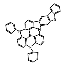 c1ccc(N2c3cccc4c3B3c5c2cccc5-n2c5cc6sc7ccccc7c6cc5c5ccc(c3c52)N4c2ccccc2)cc1